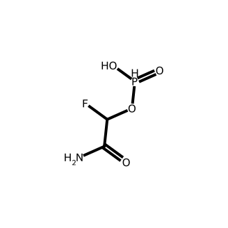 NC(=O)C(F)O[PH](=O)O